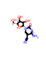 N#Cc1cn([C@@H]2O[C@H](CO)C(O)C2O)c(=O)nc1N